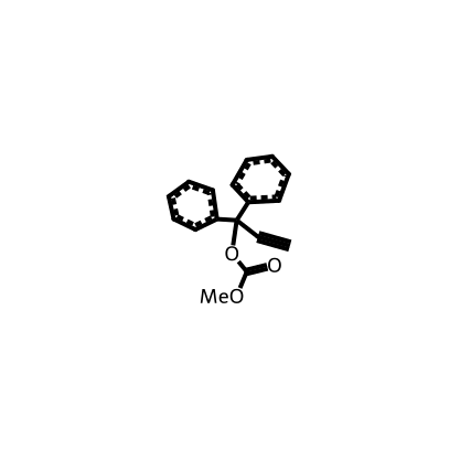 C#CC(OC(=O)OC)(c1ccccc1)c1ccccc1